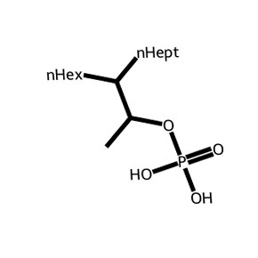 CCCCCCCC(CCCCCC)C(C)OP(=O)(O)O